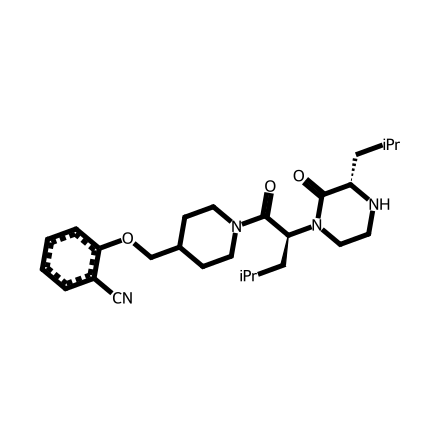 CC(C)C[C@@H]1NCCN([C@@H](CC(C)C)C(=O)N2CCC(COc3ccccc3C#N)CC2)C1=O